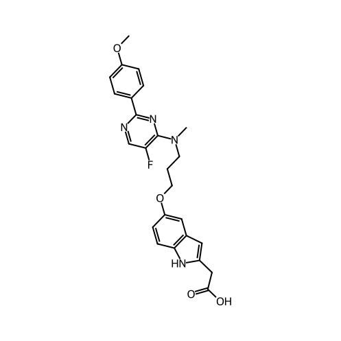 COc1ccc(-c2ncc(F)c(N(C)CCCOc3ccc4[nH]c(CC(=O)O)cc4c3)n2)cc1